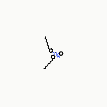 CCCCCCCCc1ccc(N(Cn2nnc3ccccc32)c2ccc(CCCCCCCC)cc2)cc1